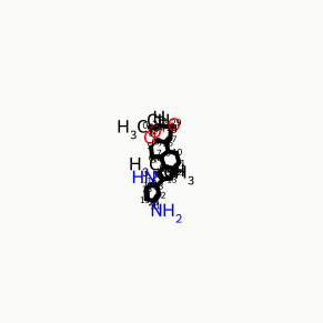 CC1(C)O[C@@]23CC[C@@]4(C)C(CC[C@H]5Cc6c([nH]c7ccc(N)cc67)[C@@]54C)C2=CC(=O)[C@@H]1O3